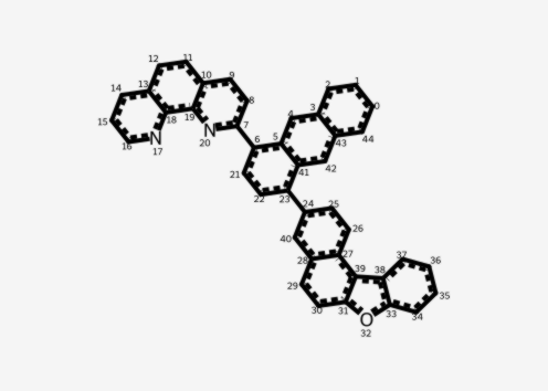 c1ccc2cc3c(-c4ccc5ccc6cccnc6c5n4)ccc(-c4ccc5c(ccc6oc7ccccc7c65)c4)c3cc2c1